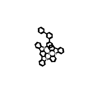 c1ccc(-c2cccc(-c3cccc(-n4c5ccccc5c5cc6c7ccccc7n7c6c(c54)B4c5c(cccc5-7)-n5c6ccccc6c6cccc4c65)c3)c2)cc1